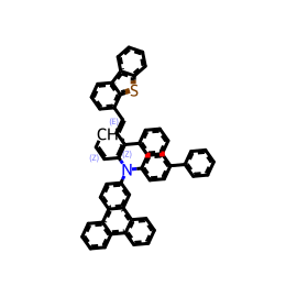 C\C=C/C(=C(\C=C\c1cccc2c1sc1ccccc12)c1ccccc1)N(c1ccc(-c2ccccc2)cc1)c1ccc2c3ccccc3c3ccccc3c2c1